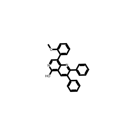 COc1ccccc1-c1cnc(O)c2cc(-c3ccccc3)c(-c3cc[c]cc3)nc12